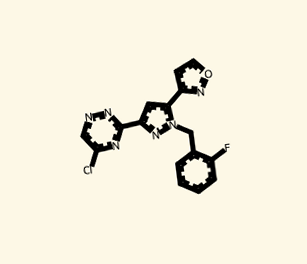 Fc1ccccc1Cn1nc(-c2nncc(Cl)n2)cc1-c1ccon1